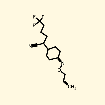 C=CCON=C1CCC(C(C#N)CCCC(F)(F)F)CC1